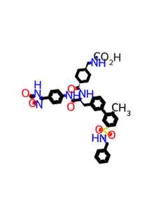 Cc1ccc(S(=O)(=O)NCc2ccccc2)cc1-c1cccc(C[C@H](NC(=O)[C@H]2CC[C@H](CNC(=O)O)CC2)C(=O)Nc2ccc(-c3noc(=O)[nH]3)cc2)c1